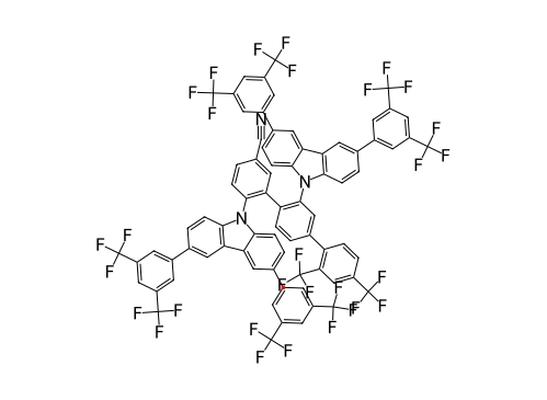 N#Cc1ccc(-n2c3ccc(-c4cc(C(F)(F)F)cc(C(F)(F)F)c4)cc3c3cc(-c4cc(C(F)(F)F)cc(C(F)(F)F)c4)ccc32)c(-c2ccc(-c3ccc(C(F)(F)F)cc3C(F)(F)F)cc2-n2c3ccc(-c4cc(C(F)(F)F)cc(C(F)(F)F)c4)cc3c3cc(-c4cc(C(F)(F)F)cc(C(F)(F)F)c4)ccc32)c1